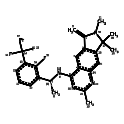 C=C1c2cc3c(N[C@H](C)c4cccc(C(F)(F)C(C)C)c4F)nc(C)nc3cc2C(C)(C)N1C